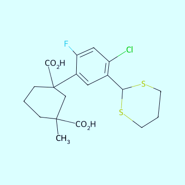 CC1(C(=O)O)CCCC(C(=O)O)(c2cc(C3SCCCS3)c(Cl)cc2F)C1